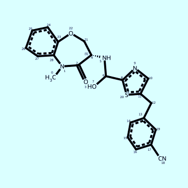 CN1C(=O)[C@@H](NC(O)c2ncc(Cc3cccc(C#N)c3)s2)COc2ccccc21